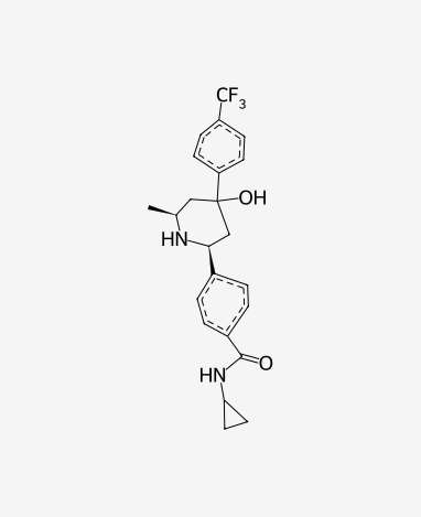 C[C@H]1CC(O)(c2ccc(C(F)(F)F)cc2)C[C@@H](c2ccc(C(=O)NC3CC3)cc2)N1